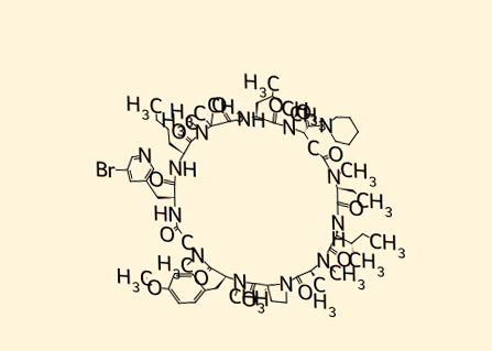 CCCC[C@@H]1NC(=O)[C@H](Cc2cncc(Br)c2)NC(=O)CN(C)C(=O)[C@H](Cc2ccc(OC)cc2)N(C)C(=O)[C@@H]2CCN2C(=O)[C@H](C)N(C)C(=O)[C@H]([C@@H](C)CC)NC(=O)[C@H](CC)N(C)C(=O)C[C@@H](C(=O)N2CCCCC2)N(C)C(=O)[C@H](CC(C)C)NC(=O)C(C)(C)N(C)C1=O